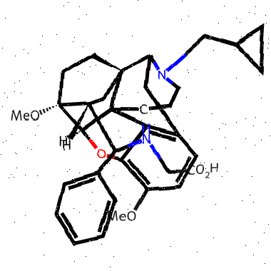 COc1ccc2c3c1O[C@@H]1C34CCCN(CC3CC3)C(C2)[C@]42CC[C@@]1(OC)[C@@H](C(NCC(=O)O)c1ccccc1)C2